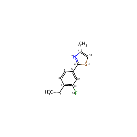 CCc1ccc(-c2nc(C)cs2)cc1F